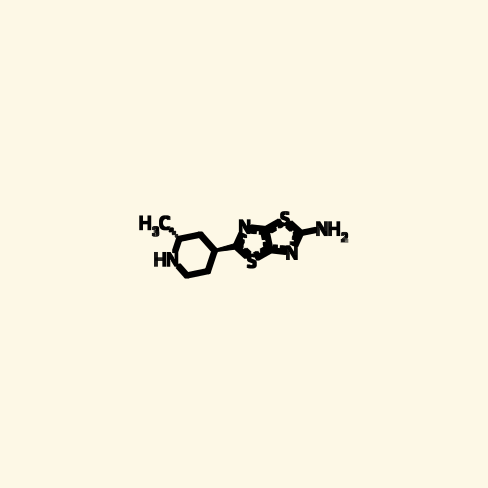 C[C@@H]1C[C@@H](c2nc3sc(N)nc3s2)CCN1